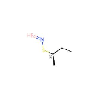 B=NS[C@H](C)CC